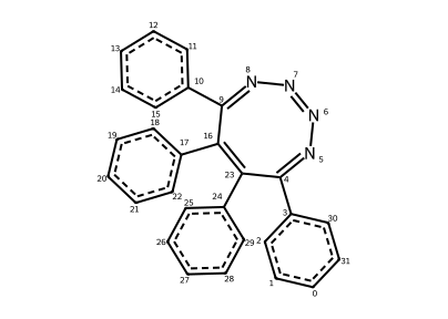 c1ccc(C2=N/N=N\N=C(c3ccccc3)/C(c3ccccc3)=C\2c2ccccc2)cc1